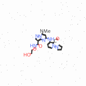 CNc1cc(NC2=CC=CN(n3cccc3)C2=C=O)nc2c(C(=O)NOCCO)cnn12